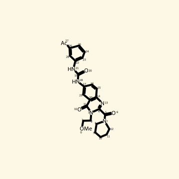 COCCn1c(C(=O)N2CCCCC2)nc2ccc(NC(=O)Nc3cccc(C(C)=O)c3)cc2c1=O